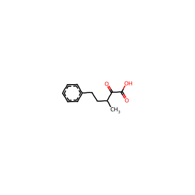 CC(CCc1ccccc1)C(=O)C(=O)O